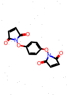 O=C1C=CC(=O)N1Oc1ccc(ON2C(=O)C=CC2=O)cc1